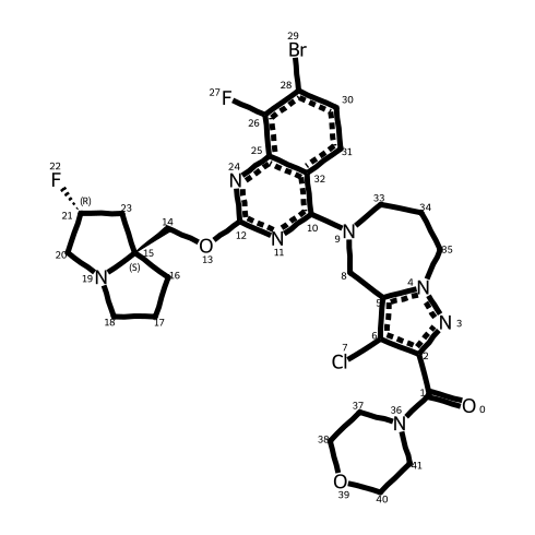 O=C(c1nn2c(c1Cl)CN(c1nc(OC[C@@]34CCCN3C[C@H](F)C4)nc3c(F)c(Br)ccc13)CCC2)N1CCOCC1